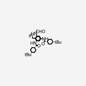 CC(C)Cc1c(NC=O)cc(NC(=O)[C@H]2CC[C@@H](C(C)(C)C)CC2)cc1NC(=O)[C@H]1CC[C@@H](C(C)(C)C)CC1